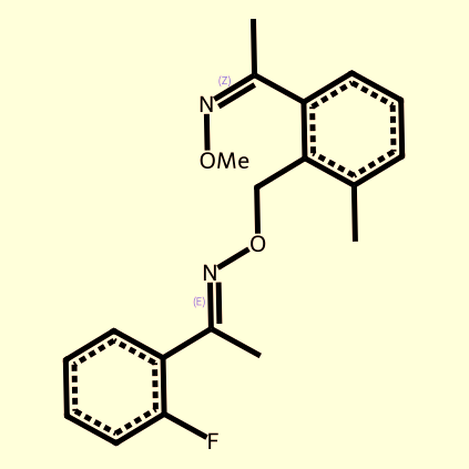 CO/N=C(/C)c1cccc(C)c1CO/N=C(\C)c1ccccc1F